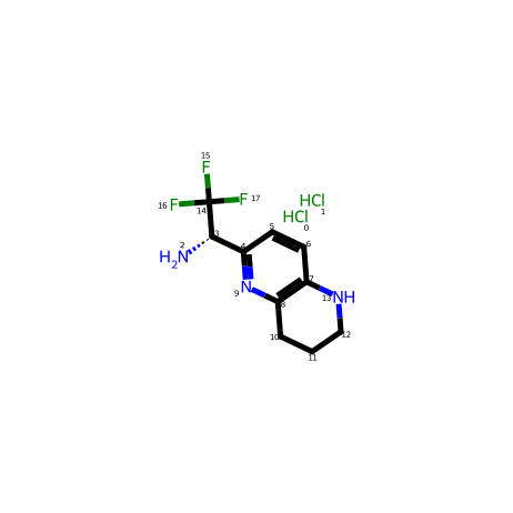 Cl.Cl.N[C@@H](c1ccc2c(n1)CCCN2)C(F)(F)F